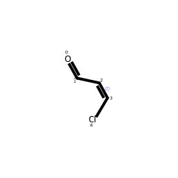 O=[C]/C=C\Cl